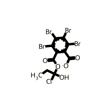 CCC(O)(Cl)OC(=O)c1c(Br)c(Br)c(Br)c(Br)c1C([O])=O